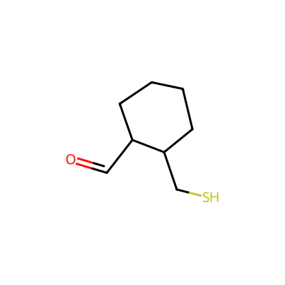 O=CC1CCCCC1CS